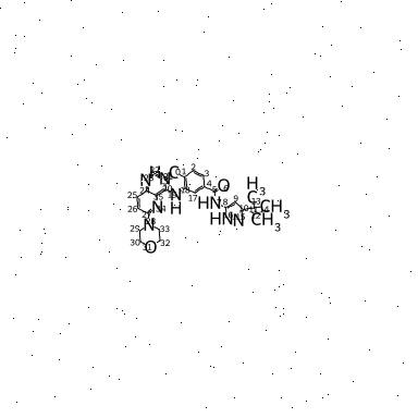 Cc1ccc(C(=O)Nc2cc(C(C)(C)C)n[nH]2)cc1Nc1ncnc2ccc(N3CCOCC3)nc12